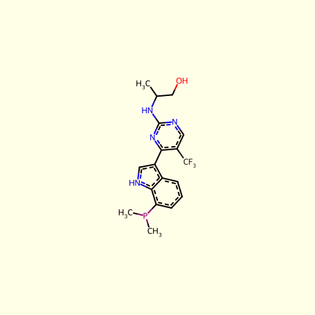 CC(CO)Nc1ncc(C(F)(F)F)c(-c2c[nH]c3c(P(C)C)cccc23)n1